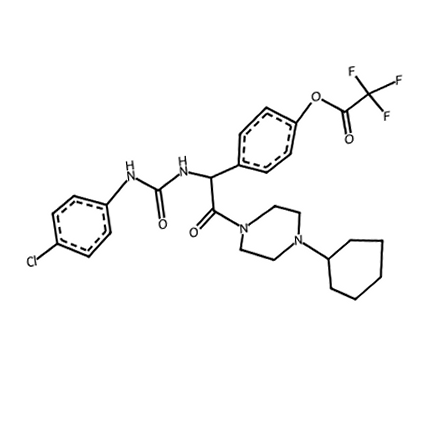 O=C(Nc1ccc(Cl)cc1)NC(C(=O)N1CCN(C2CCCCC2)CC1)c1ccc(OC(=O)C(F)(F)F)cc1